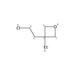 CCC1(CCCl)COC1